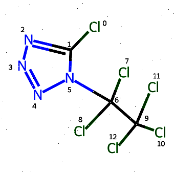 Clc1nnnn1C(Cl)(Cl)C(Cl)(Cl)Cl